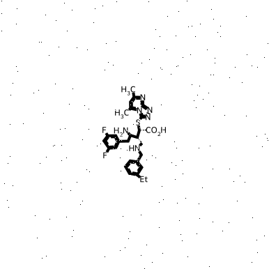 CCc1cccc(CNC[C@H](C(N)Cc2cc(F)cc(F)c2)[C@H](Sc2nnc3nc(C)cc(C)n23)C(=O)O)c1